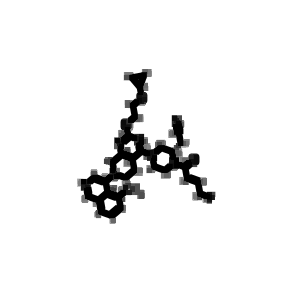 Cc1cccc2cncc(N3CCc4c(nc(OCCOC5CC5)nc4N4CCN(C(=O)/C=C/CF)[C@@H](CC#N)C4)C3)c12